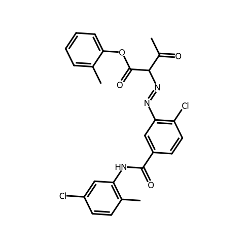 CC(=O)C(N=Nc1cc(C(=O)Nc2cc(Cl)ccc2C)ccc1Cl)C(=O)Oc1ccccc1C